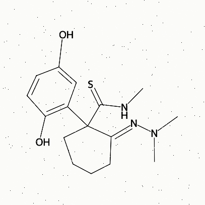 CNC(=S)C1(c2cc(O)ccc2O)CCCCC1=NN(C)C